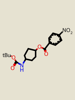 CC(C)(C)OC(=O)NC1CCC(OC(=O)c2ccc([N+](=O)[O-])cc2)CC1